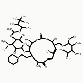 CCOC(OCC1/C=C(C)/C=C/C(=O)C(C)CC(CCN2CCCCC2)C(OC2OC(C)C(OC(C)OC(C)C(O)C(C)(C)O)C(N(C)C)C2O)C(C)C(O)CC(=O)OC1CC)C(OC)C(OC)C(C)O